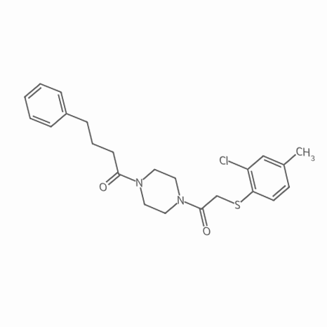 Cc1ccc(SCC(=O)N2CCN(C(=O)CCCc3ccccc3)CC2)c(Cl)c1